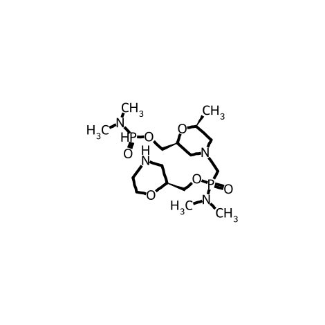 C[C@H]1CN(CP(=O)(OC[C@@H]2CNCCO2)N(C)C)C[C@@H](CO[PH](=O)N(C)C)O1